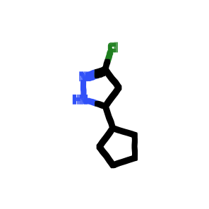 ClC1=NNC(C2CCCC2)C1